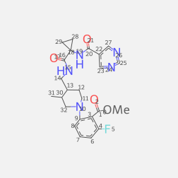 COC(=O)c1c(F)cccc1N1CCC(CNC(=O)C2(NC(=O)c3cncnc3)CC2)C(C)C1